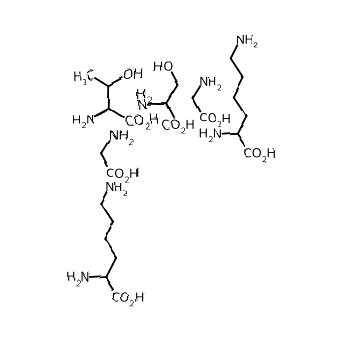 CC(O)C(N)C(=O)O.NC(CO)C(=O)O.NCC(=O)O.NCC(=O)O.NCCCCC(N)C(=O)O.NCCCCC(N)C(=O)O